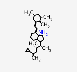 C=C(/C=C/[C@@H](C)C1CC[C@@]2(N)/C(=C/C=C3/C[C@@H](C)C[C@H](C)C3=C)CCC[C@]12C)C1CC1